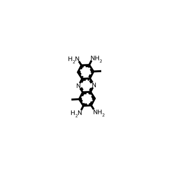 Cc1c(N)c(N)cc2nc3c(C)c(N)c(N)cc3nc12